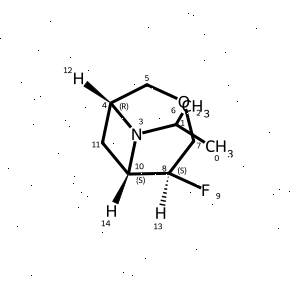 CC(C)N1[C@H]2COC[C@@H](F)[C@@H]1C2